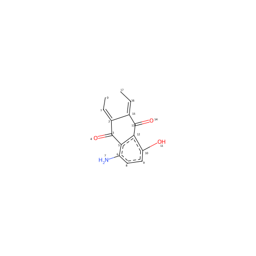 C/C=C1/C(=O)c2c(N)ccc(O)c2C(=O)/C1=C/C